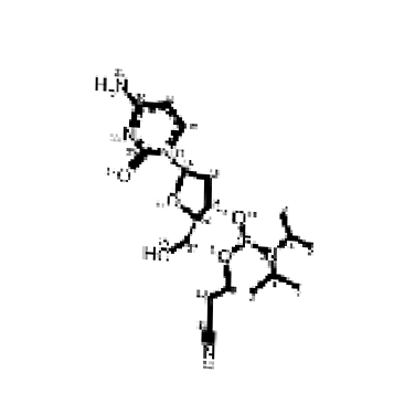 CC(C)N(C(C)C)P(OCCC#N)O[C@H]1C[C@H](n2ccc(N)nc2=O)O[C@@H]1CO